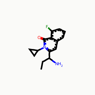 CCC(N)c1cc2cccc(F)c2c(=O)n1C1CC1